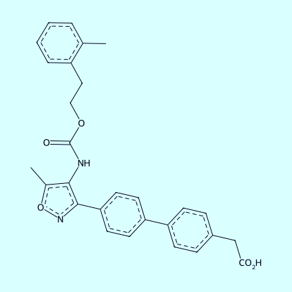 Cc1ccccc1CCOC(=O)Nc1c(-c2ccc(-c3ccc(CC(=O)O)cc3)cc2)noc1C